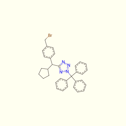 BrCc1ccc(C(c2nnn(C(c3ccccc3)(c3ccccc3)c3ccccc3)n2)C2CCCC2)cc1